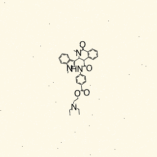 CCN(CC)CCOC(=O)c1ccc(NC(=O)C2c3ccccc3C(=O)N(C)C2c2cn(C)c3ccccc23)cc1